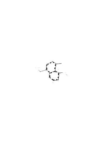 COc1cccc2c(CO)ccc(C)c12